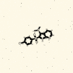 CN(C)c1c(S(=O)(=O)c2ccc(Cl)cc2)sc2ncccc12